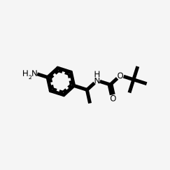 CC(NC(=O)OC(C)(C)C)c1ccc(N)cc1